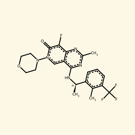 Cc1nc(N[C@H](C)c2cccc(C(F)(F)F)c2C)c2cn(N3CCOCC3)c(=O)c(F)c2n1